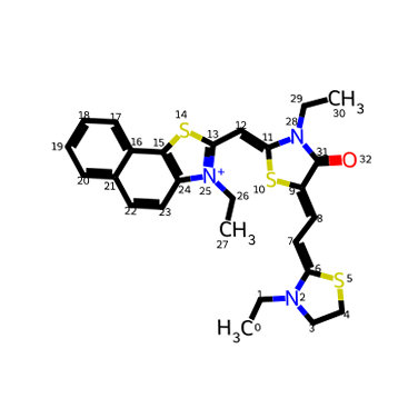 CCN1CCS/C1=C\C=c1/s/c(=C\c2sc3c4ccccc4ccc3[n+]2CC)n(CC)c1=O